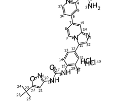 CC(N)Cc1cc(-c2ccn3c(-c4ccc(NC(=O)Nc5cc(C(C)(C)C)on5)c(F)c4)cnc3c2)ccn1.Cl.Cl